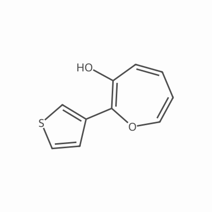 OC1=C(c2ccsc2)OC=CC=C1